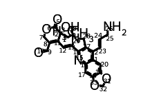 CC[C@@]1(O)C(=O)OCC(C=O)=C1/C=C1/c2nc3cc4c(cc3c(/C=C/CN)c2CN1C)OCO4